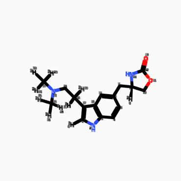 [2H]c1[nH]c2ccc(C[C@@]3([2H])COC(=O)N3)cc2c1C([2H])([2H])CN(C([2H])([2H])[2H])C([2H])([2H])[2H]